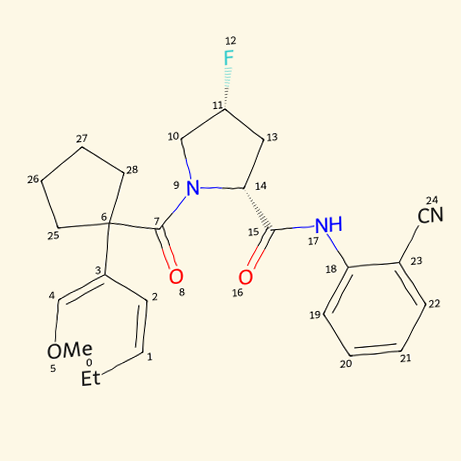 CC/C=C\C(=C/OC)C1(C(=O)N2C[C@H](F)C[C@@H]2C(=O)Nc2ccccc2C#N)CCCC1